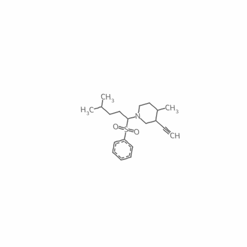 C#CC1CN(C(CCC(C)C)S(=O)(=O)c2ccccc2)CCC1C